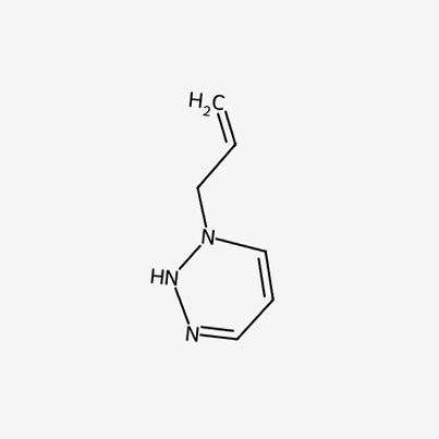 C=CCN1C=CC=NN1